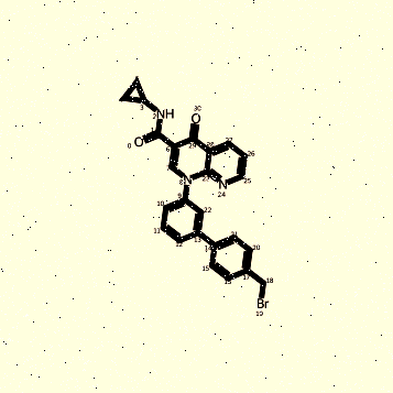 O=C(NC1CC1)c1cn(-c2cccc(-c3ccc(CBr)cc3)c2)c2ncccc2c1=O